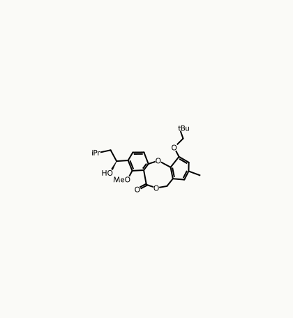 COc1c([C@@H](O)CC(C)C)ccc2c1C(=O)OCc1cc(C)cc(OCC(C)(C)C)c1O2